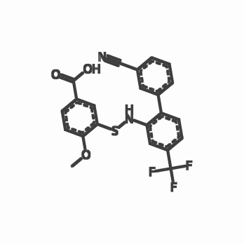 COc1ccc(C(=O)O)cc1SNc1cc(C(F)(F)F)ccc1-c1cccc(C#N)c1